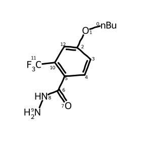 CCCCOc1ccc(C(=O)NN)c(C(F)(F)F)c1